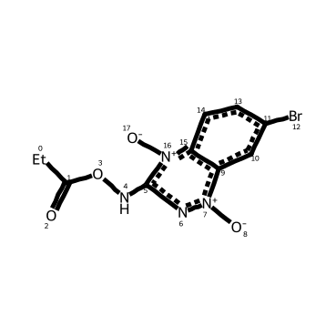 CCC(=O)ONc1n[n+]([O-])c2cc(Br)ccc2[n+]1[O-]